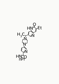 CCCNC(=O)c1ccc(N2CCN(C(C)c3cnc4cc(CC)c(=O)[nH]c4c3)CC2)cn1